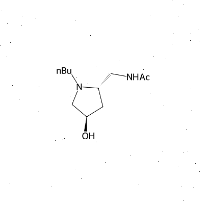 CCCCN1C[C@H](O)C[C@H]1CNC(C)=O